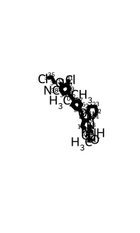 CC(C)(c1ccc(OCc2cnc(NS(C)(=O)=O)nc2N2CCCCC2)cc1)c1cc(Cl)c(OCCCl)c(C#N)c1